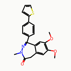 COc1cc2c(cc1OC)C(c1ccc(-c3cccs3)cc1)=NN(C)C(=O)C2